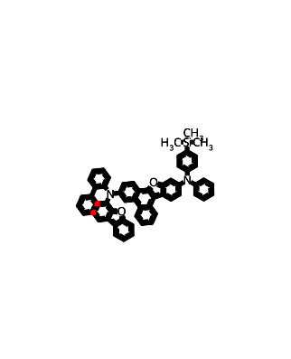 C[Si](C)(C)c1ccc(N(c2ccccc2)c2ccc3c(c2)oc2c4ccc(N(c5ccccc5-c5ccccc5)c5cccc6c5oc5ccccc56)cc4c4ccccc4c32)cc1